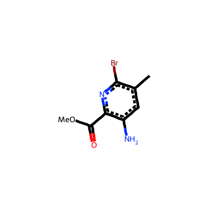 COC(=O)c1nc(Br)c(C)cc1N